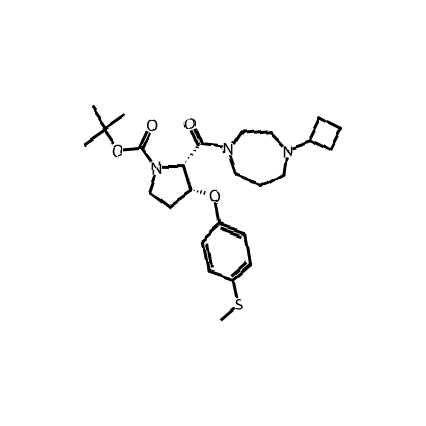 CSc1ccc(O[C@@H]2CCN(C(=O)OC(C)(C)C)[C@@H]2C(=O)N2CCCN(C3CCC3)CC2)cc1